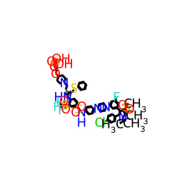 Cc1c(S(C)(=O)=O)c(-c2cc(F)cc(N3CCN(c4ccc(NS(=O)(=O)c5ccc(N[C@H](CCN6CCC(OCOP(=O)(O)O)CC6)CSc6ccccc6)c(S(=O)(=O)C(F)(F)F)c5)cc4)CC3)c2)c(-c2ccc(Cl)cc2)n1C(C)C